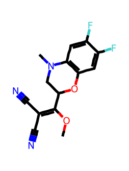 COC(=C(C#N)C#N)C1CN(C)c2cc(F)c(F)cc2O1